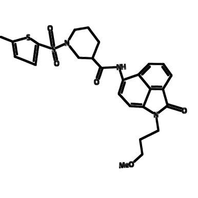 COCCCN1C(=O)c2cccc3c(NC(=O)C4CCCN(S(=O)(=O)c5ccc(Br)s5)C4)ccc1c23